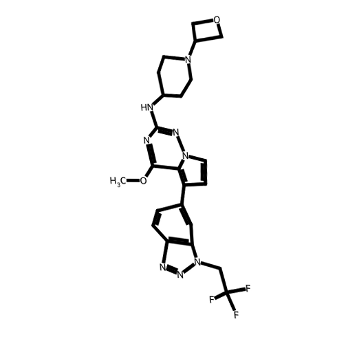 COc1nc(NC2CCN(C3COC3)CC2)nn2ccc(-c3ccc4nnn(CC(F)(F)F)c4c3)c12